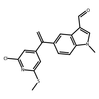 C=C(c1cc(Cl)nc(SC)c1)c1ccc2c(c1)c(C=O)cn2C